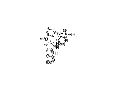 CCOc1cccc(Nc2cc(N[C@@H]3CCCC[C@@H]3NC(=O)OC(C)(C)C)nnc2C(N)=O)n1